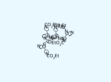 CCCCn1cc(C2CCN(C(=O)OCC)CC2)c2cccnc21.CCCCn1cc(C2CCN(C(=O)OCC)CC2)c2ccncc21.CCOC(=O)N1CCC(c2cn(Cc3ccoc3)c3cnccc23)CC1.CCOCCn1cc(C2CCN(C(=O)OCC)CC2)c2ccncc21